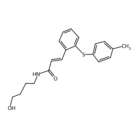 Cc1ccc(Sc2ccccc2C=CC(=O)NCCCCO)cc1